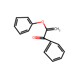 C=C(Oc1ccccc1)C(=O)c1ccccc1